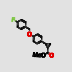 COC(=O)C1CC1c1ccc(OCc2ccc(F)cc2)cc1